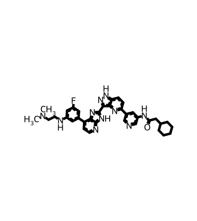 CN(C)CCNc1cc(F)cc(-c2ccnc3[nH]c(-c4n[nH]c5ccc(-c6cncc(NC(=O)CC7CCCCC7)c6)nc45)nc23)c1